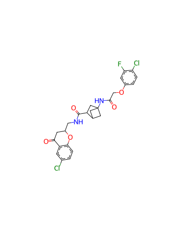 O=C(COc1ccc(Cl)c(F)c1)NC12CC(C1)C(C(=O)NCC1CC(=O)c3cc(Cl)ccc3O1)C2